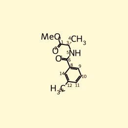 COC(=O)[C@H](C)NC(=O)c1cccc(C)c1